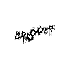 BN1CCC[C@H]1C(=O)Nc1ccc2cc(-c3ccc(NC(=O)[C@@H]4CCCN4)nc3)ccc2n1